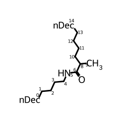 CCCCCCCCCCCCCCNC(=O)C(C)CCCCCCCCCCCCCC